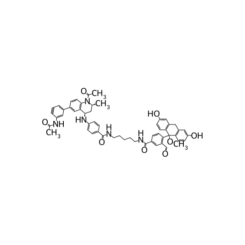 COC1(c2ccc(C(=O)NCCCCCNC(=O)c3ccc(N[C@@H]4C[C@H](C)N(C(C)=O)c5ccc(-c6cc#cc(NC(C)=O)c6)cc54)cc3)cc2C=O)c2ccc(O)cc2Cc2cc(O)ccc21